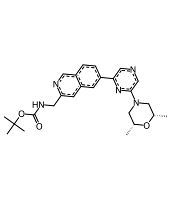 C[C@@H]1CN(c2cncc(-c3ccc4cnc(CNC(=O)OC(C)(C)C)cc4c3)n2)C[C@H](C)O1